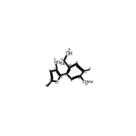 CCCCCCc1cc(C)sc1-c1cc(OC)c(C)cc1CO